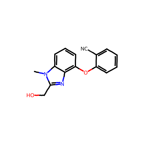 Cn1c(CO)nc2c(Oc3ccccc3C#N)cccc21